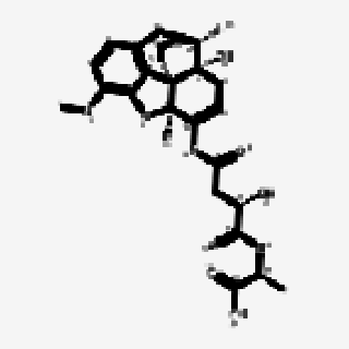 COc1ccc2c3c1O[C@@H]1C(OC(=O)C[C@H](O)C(=O)O[C@@H](C)C(=O)O)=CC[C@]4(O)[C@@H](CCC[C@@]314)C2